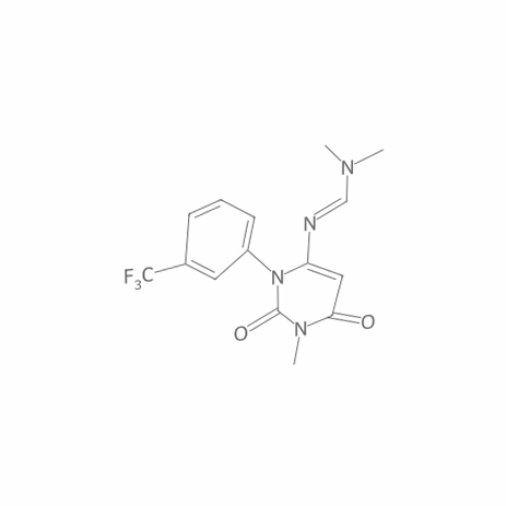 CN(C)/C=N/c1cc(=O)n(C)c(=O)n1-c1cccc(C(F)(F)F)c1